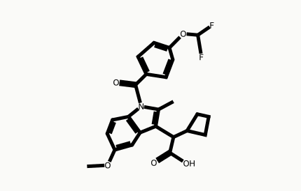 COc1ccc2c(c1)c(C(C(=O)O)C1CCC1)c(C)n2C(=O)c1ccc(OC(F)F)cc1